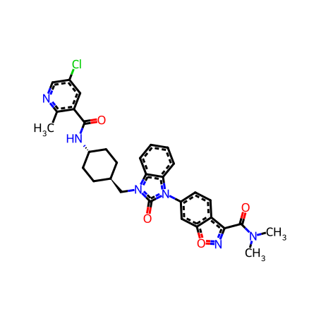 Cc1ncc(Cl)cc1C(=O)N[C@H]1CC[C@H](Cn2c(=O)n(-c3ccc4c(C(=O)N(C)C)noc4c3)c3ccccc32)CC1